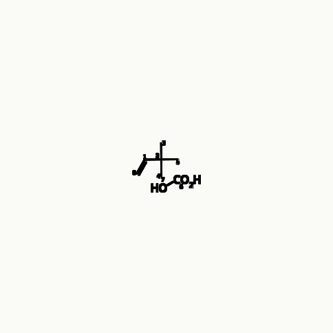 C=CC(C)(C)C.O=C(O)O